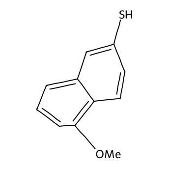 COc1cccc2cc(S)ccc12